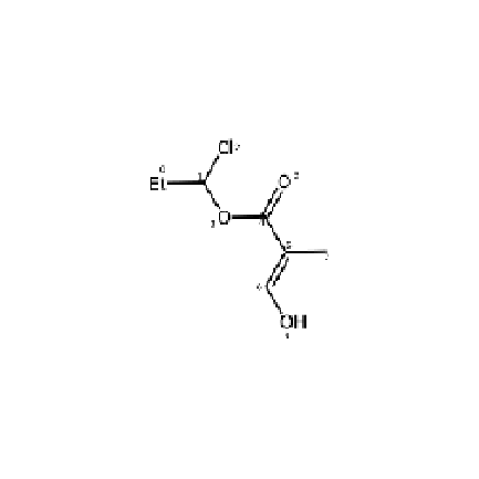 CCC(Cl)OC(=O)C(C)=CO